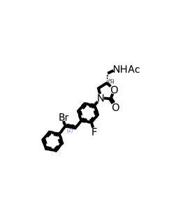 CC(=O)NC[C@H]1CN(c2ccc(/C=C(\Br)c3ccccc3)c(F)c2)C(=O)O1